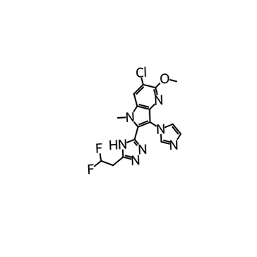 COc1nc2c(-n3ccnc3)c(-c3nnc(CC(F)F)[nH]3)n(C)c2cc1Cl